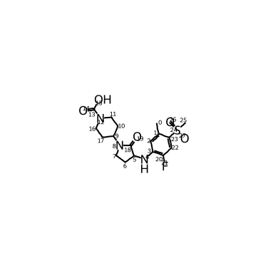 Cc1cc(NC2CCN(C3CCN(C(=O)O)CC3)C2=O)c(F)cc1S(C)(=O)=O